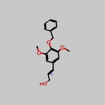 COc1cc(/C=C/CO)cc(OC)c1OCc1ccccc1